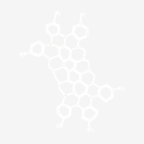 Cc1ccc2c(c1)B1c3cc(C)ccc3N3c4ccc(C)cc4B4CN5CB6CN7c8ccc(C)cc8B8c9cc(C)ccc9N9c%10ccc(C)cc%10B%10CN%11CB%12CN2c2c1c3c4c1c5c3c6c4c7c8c9c%10c4c%11c3c%12c21